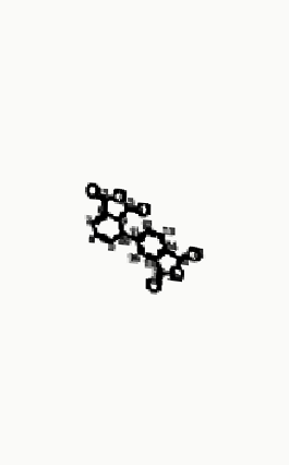 O=C1OC(=O)C2C1=CC=CC2c1ccc2c(c1)C(=O)OC2=O